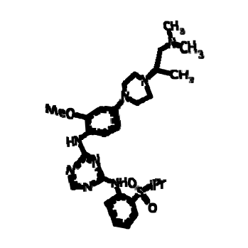 COc1cc(N2CCN(C(C)CN(C)C)CC2)ccc1Nc1ncnc(Nc2ccccc2S(=O)(=O)C(C)C)n1